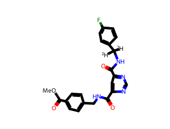 [2H]C([2H])(NC(=O)c1cc(C(=O)NCc2ccc(C(=O)OC)cc2)ncn1)c1ccc(F)cc1